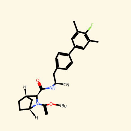 C=C(OC(C)(C)C)N1[C@@H]2CC[C@@H](C2)[C@H]1C(=O)N[C@H](C#N)Cc1ccc(-c2cc(C)c(F)c(C)c2)cc1